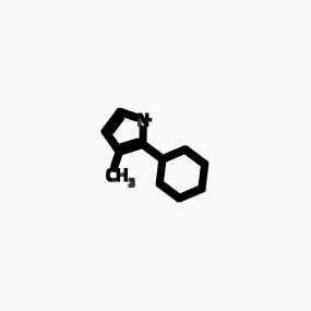 CC1=C(C2CCCCC2)[N]C=C1